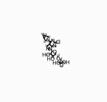 O=P(O)(O)COC[C@H]1O[C@@H](n2ncc3c(N4CC5CC5C4)nc(Cl)nc32)[C@H](O)[C@@H]1O